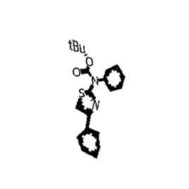 CC(C)(C)OC(=O)N(c1ccccc1)c1nc(-c2ccccc2)cs1